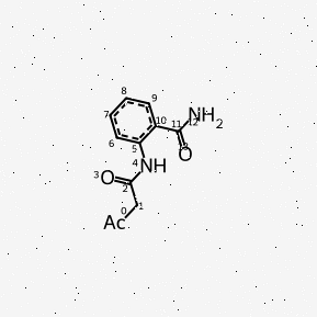 CC(=O)CC(=O)Nc1ccccc1C(N)=O